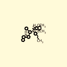 CCCCc1ccc(N(c2cc(-c3ccccc3)cc(-c3cccc4c3[nH]c3ccc5ccccc5c34)c2)c2csc3cc4c(cc23)C(C)(C)CCC4(C)C)cc1